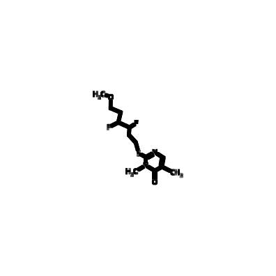 COCCC(F)C(F)CCSc1ncc(C)c(=O)n1C